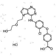 Cl.O=C(O)c1ccc(Oc2ccc(Nc3ncnc4ccn(CCOCCO)c34)cc2Cl)cc1